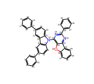 c1ccc(-c2ccc3c(c2)c2cc(-c4ccccc4)ccc2n3-c2nc(-c3ccccc3)nc3c2oc2ccccc23)cc1